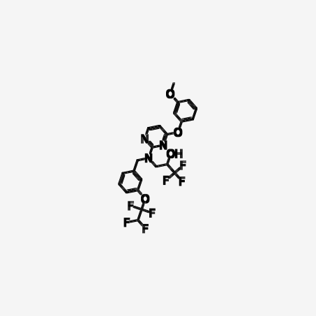 COc1cccc(Oc2ccnc(N(Cc3cccc(OC(F)(F)C(F)F)c3)CC(O)C(F)(F)F)n2)c1